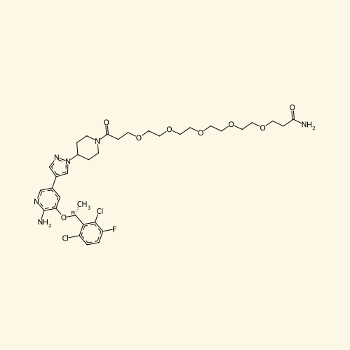 C[C@@H](Oc1cc(-c2cnn(C3CCN(C(=O)CCOCCOCCOCCOCCOCCC(N)=O)CC3)c2)cnc1N)c1c(Cl)ccc(F)c1Cl